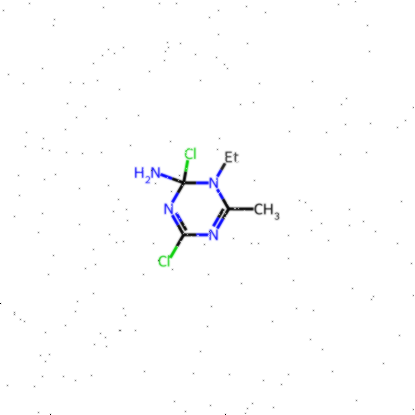 CCN1C(C)=NC(Cl)=NC1(N)Cl